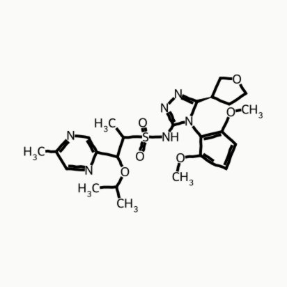 COc1cccc(OC)c1-n1c(NS(=O)(=O)C(C)C(OC(C)C)c2cnc(C)cn2)nnc1[C@@H]1CCOC1